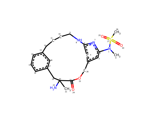 CN(c1cc2cc(n1)NCCCCc1cccc(c1)CC(C)(N)C(=O)OC2)S(C)(=O)=O